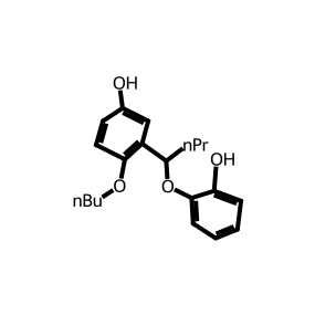 CCCCOc1ccc(O)cc1C(CCC)Oc1ccccc1O